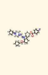 O=C(OC1CCc2c(c3cccc(OCc4ccccc4)c3n2CCN2CCN(c3ccccc3)CC2)C1)c1ccc(I)cc1